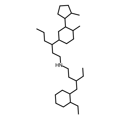 CCCC(CCNCCC(CC)CC1CCCCC1CC)C1CCC(C)C(C2CCCC2C)C1